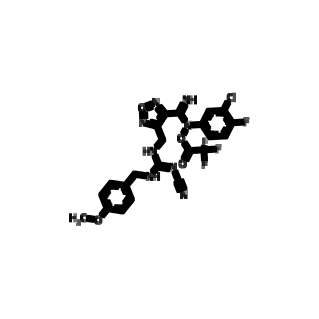 COc1ccc(CN/C(=N\C#N)NCc2nonc2C(=N)N(OC(=O)C(F)(F)F)c2ccc(F)c(Cl)c2)cc1